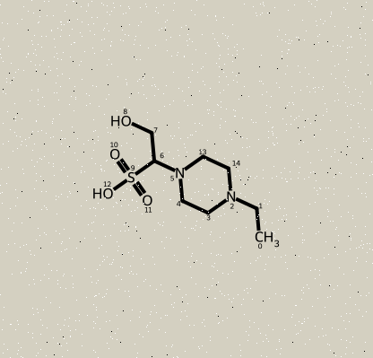 CCN1CCN(C(CO)S(=O)(=O)O)CC1